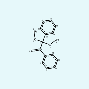 CC(C)OC(OC(C)C)(C(=O)c1ccccc1)c1ccccc1